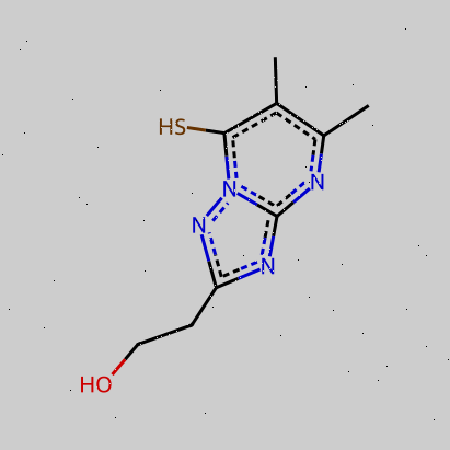 Cc1nc2nc(CCO)nn2c(S)c1C